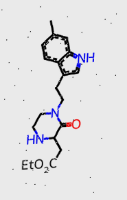 CCOC(=O)CC1NCCN(CCc2c[nH]c3cc(C)ccc23)C1=O